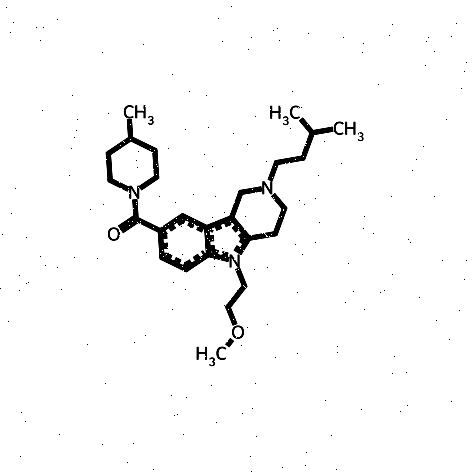 COCCn1c2c(c3cc(C(=O)N4CCC(C)CC4)ccc31)CN(CCC(C)C)CC2